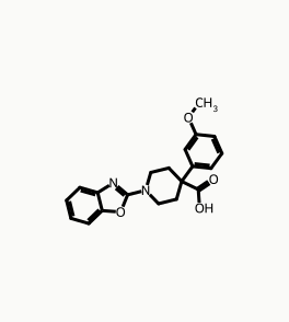 COc1cccc(C2(C(=O)O)CCN(c3nc4ccccc4o3)CC2)c1